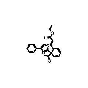 CCOC(=O)C=CC1C=CC=CC1(C(C)=O)c1nc(-c2ccccc2)cs1